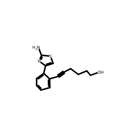 Nc1nc(-c2ccccc2C#CCCCCO)cs1